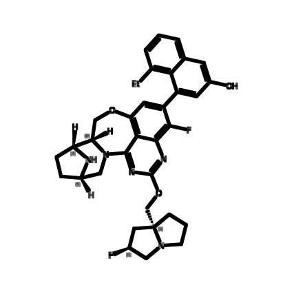 CCc1cccc2cc(O)cc(-c3cc4c5c(nc(OC[C@]67CCCN6C[C@@H](F)C7)nc5c3F)N3C[C@@H]5CC[C@@H](N5)[C@@H]3CO4)c12